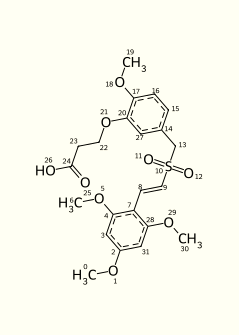 COc1cc(OC)c(C=CS(=O)(=O)Cc2ccc(OC)c(OCCC(=O)O)c2)c(OC)c1